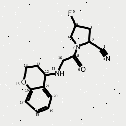 N#CC1CC(F)CN1C(=O)CNC1CCOc2ccccc21